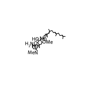 CNCC1CCC(N)[C@@H](OC2C(N)C[C@H](OC)C(N(C)C(=O)C/N=C/C=C(\C)CC/C=C(\C)CCC=C(C)C)[C@@H]2O)O1